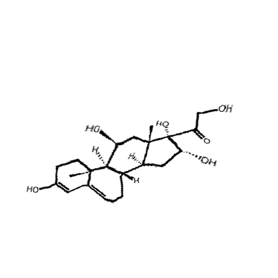 C[C@]12CCC(O)=CC1=CC[C@@H]1[C@@H]2[C@@H](O)C[C@@]2(C)[C@H]1C[C@@H](O)[C@]2(O)C(=O)CO